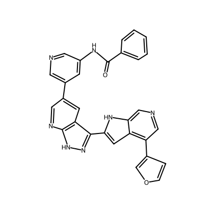 O=C(Nc1cncc(-c2cnc3[nH]nc(-c4cc5c(-c6ccoc6)cncc5[nH]4)c3c2)c1)c1ccccc1